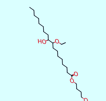 CCCCCCCCC(O)C(CCCCCCCC(=O)OCCCCOC)OCC